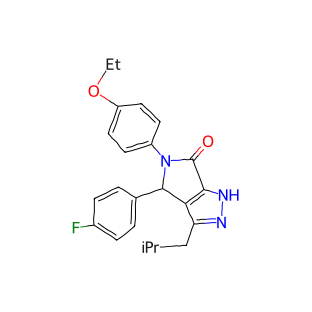 CCOc1ccc(N2C(=O)c3[nH]nc(CC(C)C)c3C2c2ccc(F)cc2)cc1